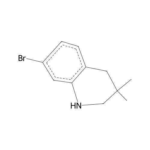 CC1(C)CNc2cc(Br)ccc2C1